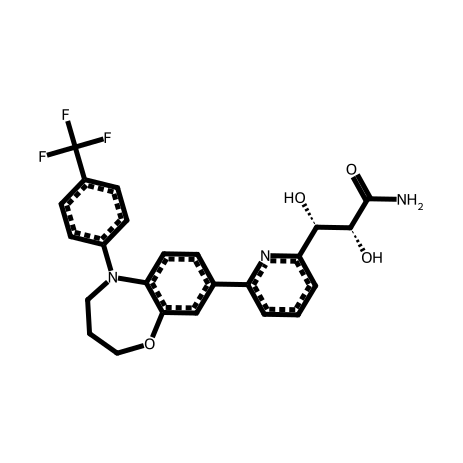 NC(=O)[C@H](O)[C@@H](O)c1cccc(-c2ccc3c(c2)OCCCN3c2ccc(C(F)(F)F)cc2)n1